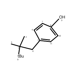 CC(C)(C)C(C)(C)Cc1ccc(O)cc1